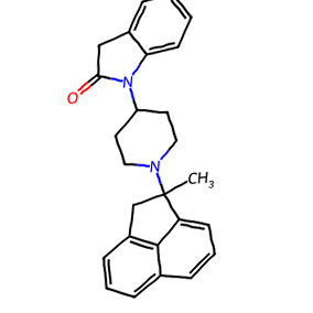 CC1(N2CCC(N3C(=O)Cc4ccccc43)CC2)Cc2cccc3cccc1c23